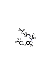 O=C1N/C(=N/c2ccc(OC3CCC(C(=O)O)CC3)cc2C(F)(F)F)S/C1=C\c1cnc(NC(=O)C2CC2)s1